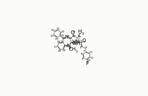 CC(NC(=O)CCc1ccc(F)cc1)C(=O)C1N=C(c2ccccc2)c2ccccc2N(C)[C@@H]1N